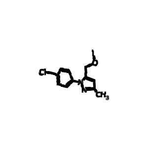 Cc1cc(COI)n(-c2ccc(Cl)cc2)n1